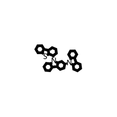 c1ccc2c(c1)sc1c(-n3c4ccccc4c4ccc(-n5c6ccccc6c6ccccc65)cc43)cccc12